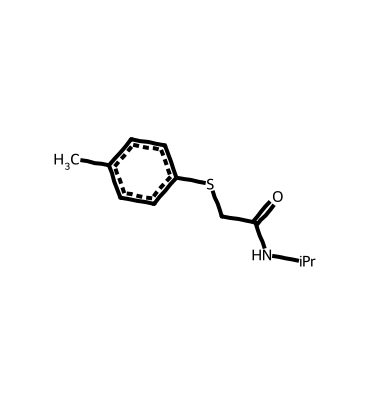 Cc1ccc(SCC(=O)NC(C)C)cc1